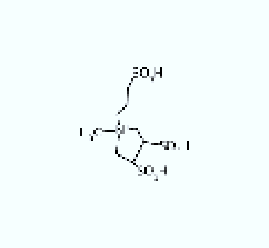 C[N+]1(CCCS(=O)(=O)O)CC(S(=O)(=O)O)C(S(=O)(=O)O)C1